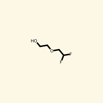 OCCOCC(F)F